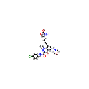 Cn1nc(C(=O)NCc2ccc(Cl)cc2)c(=O)c2cc(CN3CCOCC3)cc(C#CCC[C@@H]3COC(=O)N3)c21